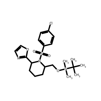 CC(C)(C)[Si](C)(C)OCC1CCCC(c2ncco2)N1S(=O)(=O)c1ccc(Cl)cc1